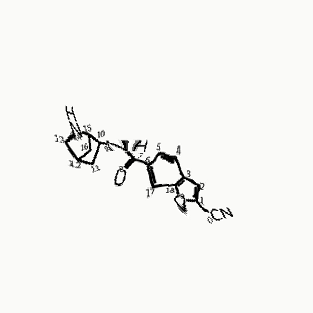 N#Cc1cc2ccc(C(=O)NC3CC4CNC3C4)cc2o1